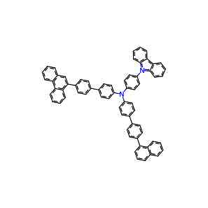 c1ccc2c(-c3ccc(-c4ccc(N(c5ccc(-c6ccc(-c7cc8ccccc8c8ccccc78)cc6)cc5)c5ccc(-n6c7ccccc7c7ccccc76)cc5)cc4)cc3)cccc2c1